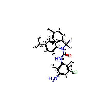 Cc1ccc(C(C)(I)N(C(=O)Nc2c(C)c(N)cc(Cl)c2C)c2ccc(C(C)C)cc2)cc1